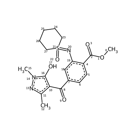 COC(=O)c1ccc(C(=O)c2c(C)nn(C)c2O)cc1N=S1(=O)CCCCC1